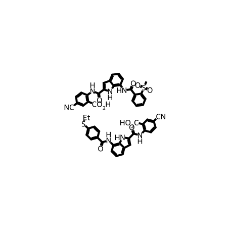 CCSc1ccc(C(=O)Nc2cccc3cc(C(=O)Nc4ccc(C#N)cc4C(=O)O)[nH]c23)cc1.CS(=O)(=O)c1ccccc1C(=O)Nc1cccc2cc(C(=O)Nc3ccc(C#N)cc3C(=O)O)[nH]c12